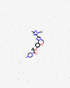 Cc1nc(-c2cn3c(n2)-c2ccc(OC4(C(=O)N5CCN(C)CC5)CC4)cc2OCC3)n(C(C)C)n1